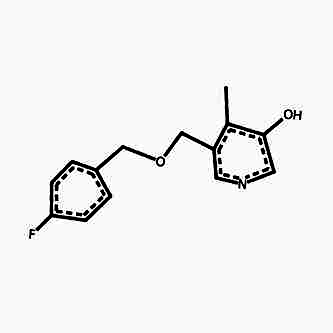 Cc1c(O)cncc1COCc1ccc(F)cc1